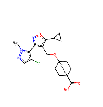 Cn1ncc(Cl)c1-c1noc(C2CC2)c1COC12CCC(C(=O)O)(CC1)CC2